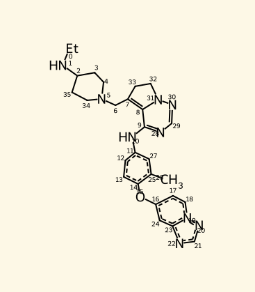 CCNC1CCN(CC2=C3C(Nc4ccc(Oc5ccn6ncnc6c5)c(C)c4)=NC=NN3CC2)CC1